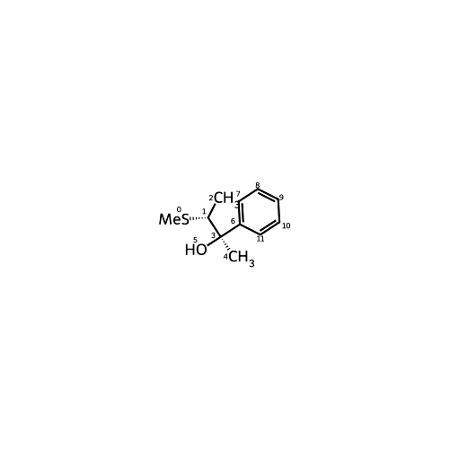 CS[C@H](C)[C@](C)(O)c1ccccc1